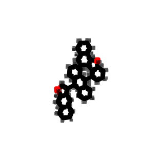 c1ccc2cc3c(-c4c5ccccc5c(-c5cccc6oc7c8ccccc8ccc7c56)c5ccccc45)coc3cc2c1